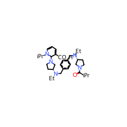 CCN(Cc1ccc(CN(CC)[C@@H]2CCN(C3C(C(=O)O)=CC=CN3C(C)C)C2)cc1)[C@@H]1CCN(C(=O)C(C)C)C1